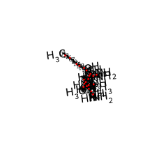 CCCCCCCCCCCCCCCCCC(=O)N[C@@H](C)C(=O)N[C@@H](CCCNC(=N)N)C(=O)N1CCC[C@H]1C(=O)N[C@@H](CC(C)C)C(=O)N[C@@H](CCCNC(=N)N)C(=O)N[C@@H](C)C(=O)O